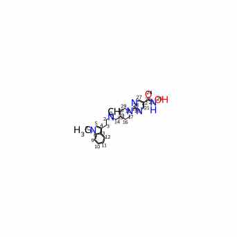 CN(CCc1cn(C)c2ccccc12)CC1CCN(c2ncc(C(=O)NO)cn2)CC1